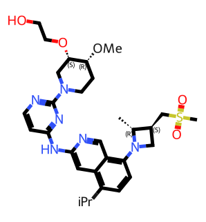 CO[C@@H]1CCN(c2nccc(Nc3cc4c(C(C)C)ccc(N5C[C@H](CS(C)(=O)=O)[C@H]5C)c4cn3)n2)C[C@@H]1OCCO